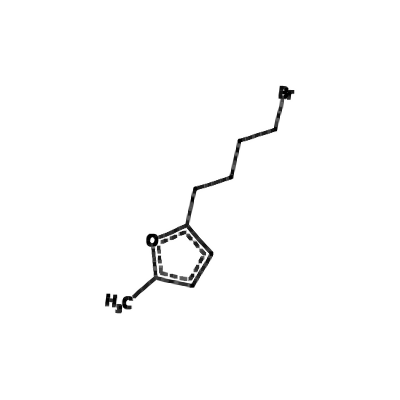 Cc1ccc(CCCCBr)o1